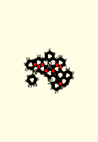 c1ccc(-c2cccc(-c3ccccc3)c2N(c2ccc3c(c2)C2(c4ccccc4Sc4ccccc42)c2cccc4cccc-3c24)c2ccc3c(c2)c2ccccc2n3-c2ccccc2)cc1